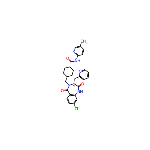 Cc1ccc(NC(=O)[C@H]2CC[C@H](CN3C(=O)c4ccc(Cl)cc4NC(=O)[C@H]3Cc3ccccn3)CC2)nc1